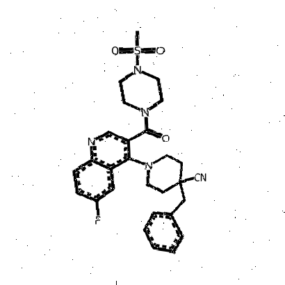 CS(=O)(=O)N1CCN(C(=O)c2cnc3ccc(F)cc3c2N2CCC(C#N)(Cc3ccccc3)CC2)CC1